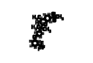 CC(NC(=O)C(C)(C)N1CC[C@@H](Oc2cccc(C(F)(F)F)c2)C1)c1ccc(S(C)(=O)=O)cc1